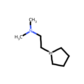 CN(C)C[CH2][In]1[CH2]CC[CH2]1